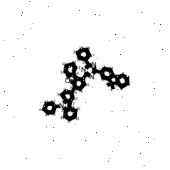 CC1(C)c2ccccc2-c2ccc(-c3nc(-c4ccccc4)nc(-c4ccc(-c5ccc6c(c5)c5ccccc5n6-c5ccccc5)c5oc6ccccc6c45)n3)cc21